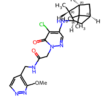 COc1nnccc1CNC(=O)Cn1ncc(N[C@@H]2C[C@@H]3C[C@H]([C@H]2C)C3(C)C)c(Cl)c1=O